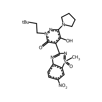 CC(C)(C)CCn1nc(N2CCCC2)c(O)c(C2=Nc3ccc([N+](=O)[O-])cc3S(C)(=O)=N2)c1=O